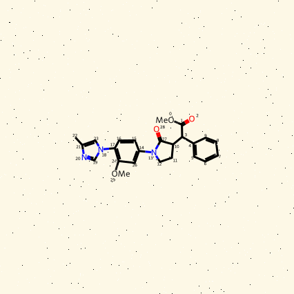 COC(=O)C(c1ccccc1)C1CCN(c2ccc(-n3cnc(C)c3)c(OC)c2)C1=O